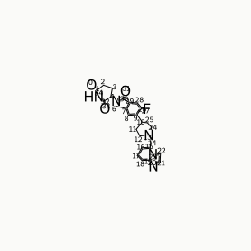 O=C1CCC(N2Cc3cc(C4CCN(Cc5cccc6nccn56)CC4)c(F)cc3C2=O)C(=O)N1